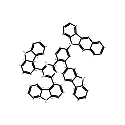 c1ccc2cc3c(cc2c1)c1ccccc1n3-c1ccc(-c2nc(-c3cccc4oc5ccccc5c34)nc(-c3cccc4oc5ccccc5c34)n2)c(-c2ccc3c(c2)sc2ccccc23)c1